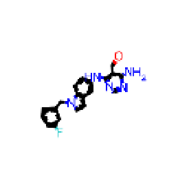 Nc1ncnc(Nc2ccc3c(ccn3Cc3cccc(F)c3)c2)c1C=O